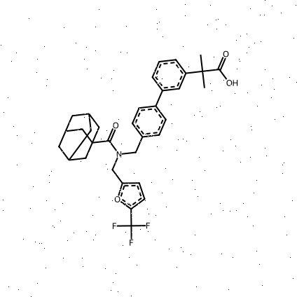 CC(C)(C(=O)O)c1cccc(-c2ccc(CN(Cc3ccc(C(F)(F)F)o3)C(=O)C34CC5CC(CC(C5)C3)C4)cc2)c1